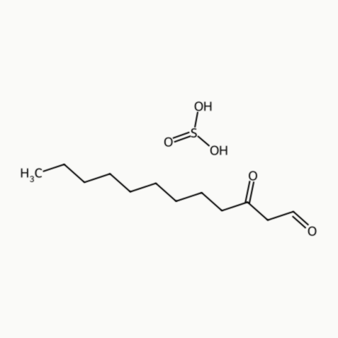 CCCCCCCCCC(=O)CC=O.O=S(O)O